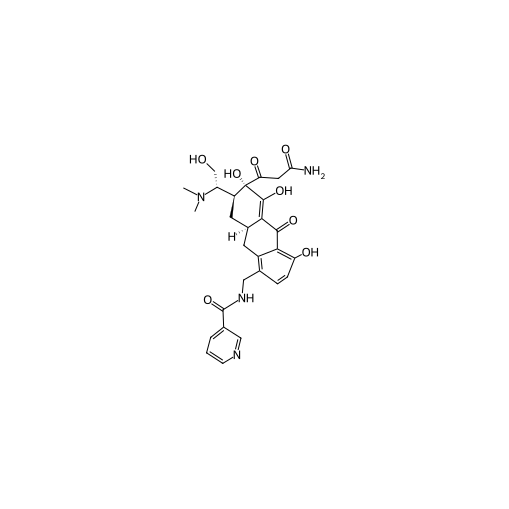 CN(C)[C@H](CO)[C@@H]1C[C@@H]2Cc3c(CNC(=O)c4cccnc4)ccc(O)c3C(=O)C2=C(O)[C@]1(O)C(=O)CC(N)=O